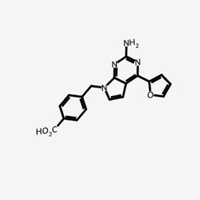 Nc1nc(-c2ccco2)c2ccn(Cc3ccc(C(=O)O)cc3)c2n1